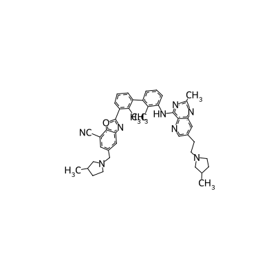 Cc1nc(Nc2cccc(-c3cccc(-c4nc5cc(CN6CCC(C)C6)cc(C#N)c5o4)c3C)c2C)c2ncc(CCN3CCC(C)C3)cc2n1